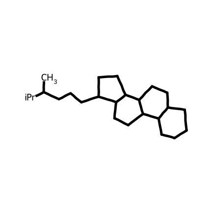 CC(C)C(C)CCCC1CCC2C1CCC1C3CCCCC3CCC21